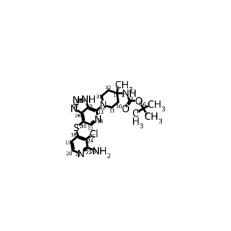 CC1(NC(=O)OC(C)(C)C)CCN(c2ncc(Sc3ccnc(N)c3Cl)c3nn[nH]c23)CC1